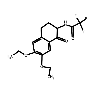 CCOc1cc2c(cc1OCC)C(=O)C(NC(=O)C(F)(F)F)CC2